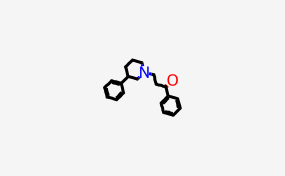 O=C(CCN1CCCC(c2ccccc2)C1)c1ccccc1